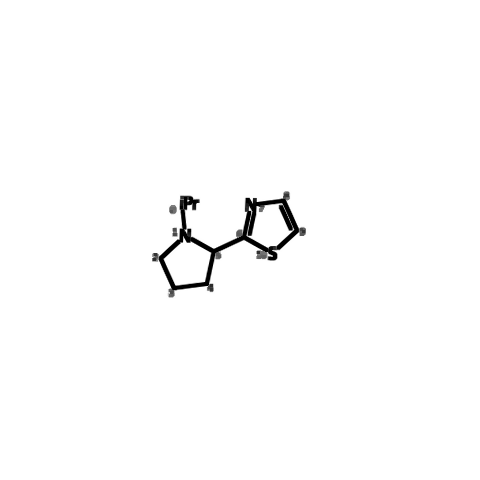 CC(C)N1CCCC1c1nccs1